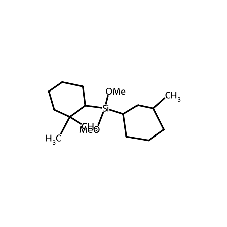 CO[Si](OC)(C1CCCC(C)C1)C1CCCCC1(C)C